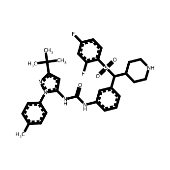 Cc1ccc(-n2nc(C(C)(C)C)cc2NC(=O)Nc2cccc(C(C3CCNCC3)S(=O)(=O)c3ccc(F)cc3F)c2)cc1